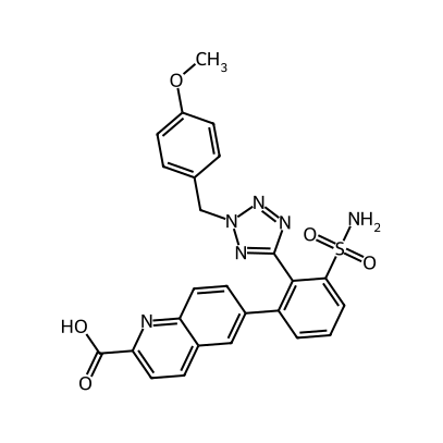 COc1ccc(Cn2nnc(-c3c(-c4ccc5nc(C(=O)O)ccc5c4)cccc3S(N)(=O)=O)n2)cc1